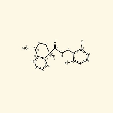 O=C(NCc1c(Cl)cccc1Cl)[C@@]1(F)CC[C@@H](O)c2ncccc21